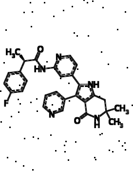 C[C@@H](C(=O)Nc1cc(-c2[nH]c3c(c2-c2cccnc2)C(=O)NC(C)(C)C3)ccn1)c1ccc(F)cc1